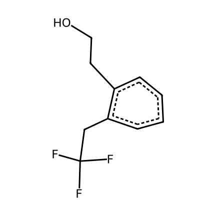 OCCc1ccccc1CC(F)(F)F